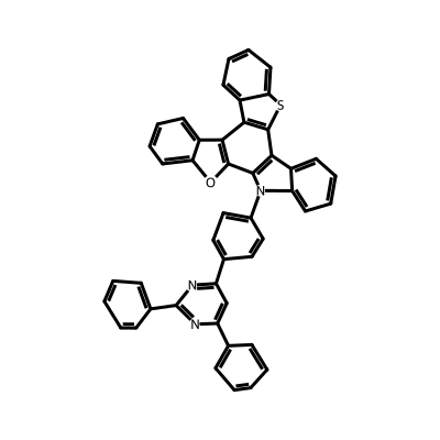 c1ccc(-c2cc(-c3ccc(-n4c5ccccc5c5c6sc7ccccc7c6c6c7ccccc7oc6c54)cc3)nc(-c3ccccc3)n2)cc1